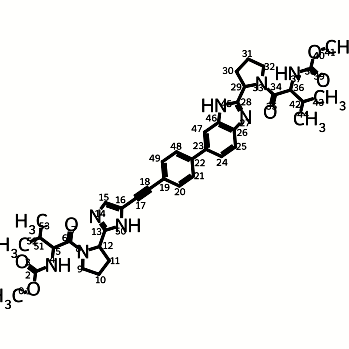 COC(=O)NC(C(=O)N1CCCC1c1ncc(C#Cc2ccc(-c3ccc4nc(C5CCCN5C(=O)C(NC(=O)OC)C(C)C)[nH]c4c3)cc2)[nH]1)C(C)C